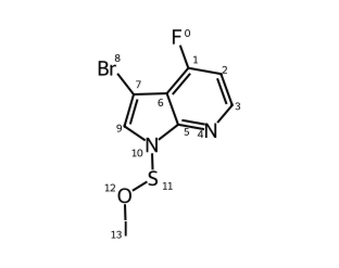 Fc1ccnc2c1c(Br)cn2SOI